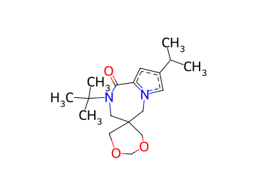 CC(C)c1cc2n(c1)CC1(COCOC1)CN(C(C)(C)C)C2=O